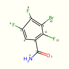 NC(=O)c1cc(F)c(F)c(Br)c1F